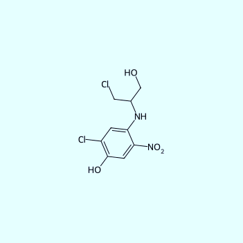 O=[N+]([O-])c1cc(O)c(Cl)cc1NC(CO)CCl